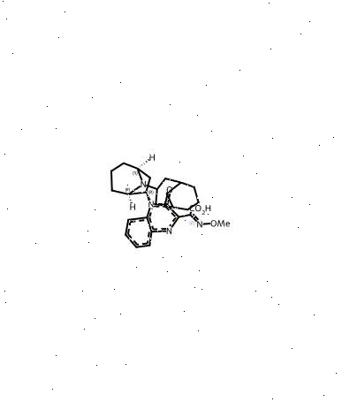 CO/N=C(\C(=O)O)c1nc2ccccc2n([C@@H]2C[C@@H]3CCC[C@H]2N3C2CC3CCCC(C3)C2)c1=O